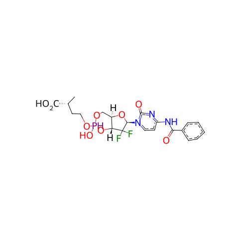 C[C@H](CCO[PH]1(O)OC[C@H]2O[C@@H](n3ccc(NC(=O)c4ccccc4)nc3=O)C(F)(F)[C@@H]2O1)C(=O)O